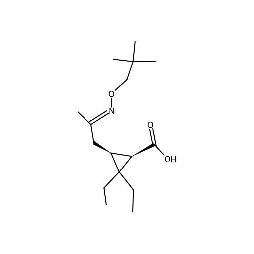 CCC1(CC)[C@H](C(=O)O)[C@@H]1CC(C)=NOCC(C)(C)C